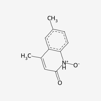 CC1=CC(=O)[NH+]([O-])c2ccc(C)cc21